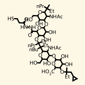 CCCCC(CC)(C1OC(CO)C(O)C(OC2OC(C(=O)O)C(OC(C)(CC)CC3CC3)C(O)C2O)C1NC(C)=O)C(CC)(CCC)OC1C(C(=O)NNC(=O)CCS)OC(OC2C(O)C(CO)OC(C(C)(CC)CCC)C2NC(C)=O)C(O)C1O